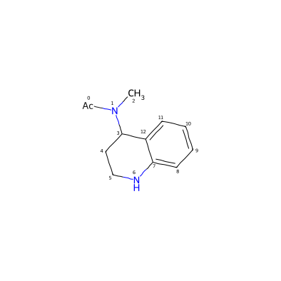 CC(=O)N(C)C1CCNc2ccccc21